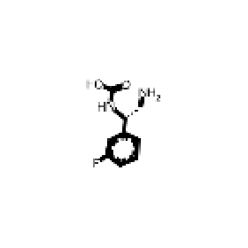 NC[C@@H](NC(=O)O)c1cccc(F)c1